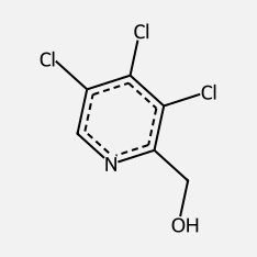 OCc1ncc(Cl)c(Cl)c1Cl